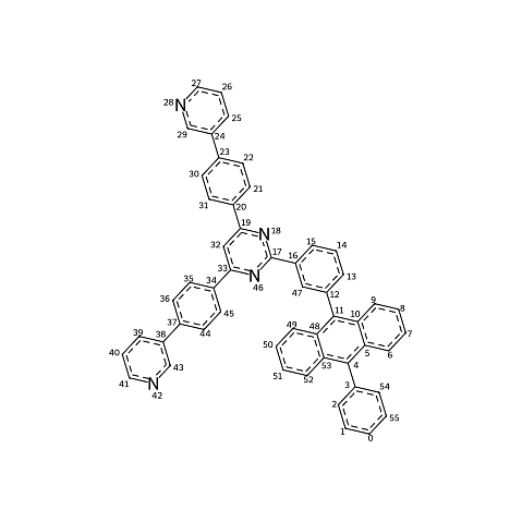 c1ccc(-c2c3ccccc3c(-c3cccc(-c4nc(-c5ccc(-c6cccnc6)cc5)cc(-c5ccc(-c6cccnc6)cc5)n4)c3)c3ccccc23)cc1